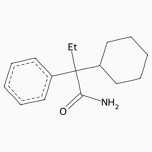 CCC(C(N)=O)(c1ccccc1)C1CCCCC1